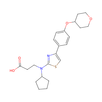 O=C(O)CCN(c1nc(-c2ccc(OC3CCOCC3)cc2)cs1)C1CCCC1